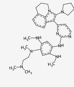 CNc1cc(N(C)CCN(C)C)c(NC)cc1Nc1nccc(-c2c(N3CCCC3)n3c4c(cccc24)CCC3)n1